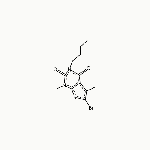 CCCCn1c(=O)c2c(C)c(Br)sc2n(C)c1=O